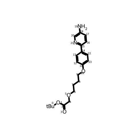 CC(C)(C)OC(=O)COCCCCOc1ccc(-c2ccc(N)cn2)cc1